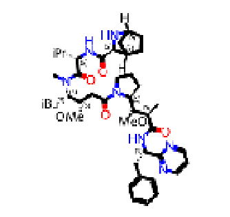 CC[C@H](C)[C@@H]([C@H](CC(=O)N1CCC[C@H]1[C@H](OC)[C@@H](C)C(=O)N[C@@H](Cc1ccccc1)c1ncccn1)OC)N(C)C(=O)[C@@H](NC(=O)[C@H]1N[C@@H]2CC[C@H]1C2)C(C)C